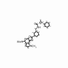 CNc1nc2oc(-c3cccc(CNC(=O)[C@@H]4C[C@H]4c4ccccc4)c3)nc2c2c1ncn2C